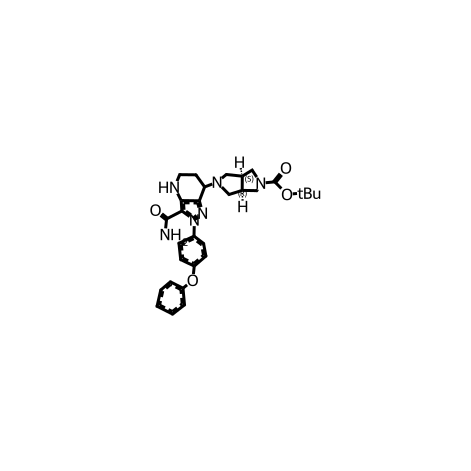 CC(C)(C)OC(=O)N1C[C@@H]2CN(C3CCNc4c3nn(-c3ccc(Oc5ccccc5)cc3)c4C(N)=O)C[C@@H]2C1